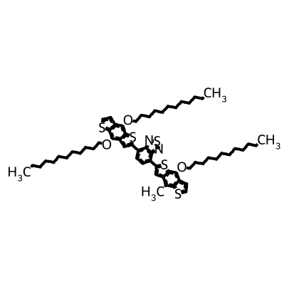 CCCCCCCCCCCCOc1c2ccsc2c(C)c2cc(-c3ccc(-c4cc5c(OCCCCCCCCCCCC)c6sccc6c(OCCCCCCCCCCCC)c5s4)c4nsnc34)sc12